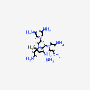 CC(CCN)(CCN)N(CCN(CCN)CCN)CCN(CCN)CCN.N